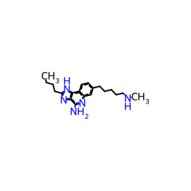 CCCCc1nc2c(N)nc3cc(CCCCCNC)ccc3c2[nH]1